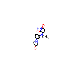 CN(c1cccc(N2CCC(=O)CC2)c1)C1CCC(=O)NC1=O